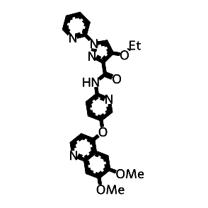 CCOc1cn(-c2ccccn2)nc1C(=O)Nc1ccc(Oc2ccnc3cc(OC)c(OC)cc23)cn1